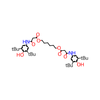 CC(C)(C)c1cc(NC(=O)CC(=O)OCCCCCCOC(=O)CC(=O)Nc2cc(C(C)(C)C)c(O)c(C(C)(C)C)c2)cc(C(C)(C)C)c1O